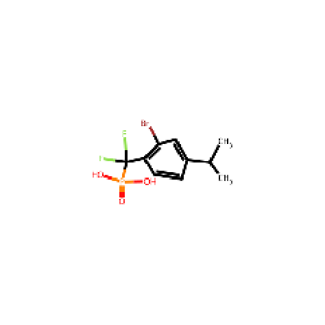 CC(C)c1ccc(C(F)(F)P(=O)(O)O)c(Br)c1